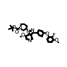 COc1cccc(Oc2ccc(-c3nn([C@@H]4CCCN(C(=O)OC(C)(C)C)C4)c4c(OC)cncc34)cc2)c1F